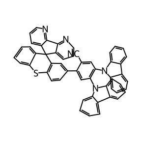 N#Cc1cc(-n2c3ccccc3c3ccccc32)c(-n2c3ccccc3c3ccccc32)cc1-c1ccc2c(c1)C1(c3ccccc3S2)c2cccnc2-c2ncccc21